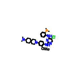 COc1cc(N2CCC3(CCC(N(C)C)CC3)CC2)ccc1Nc1ncc(Cl)c(Nc2ccccc2P(C)C)n1